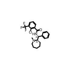 CN1CCCCC[C@@H]1[C@H](NC(=O)c1cccc(C(F)(F)F)c1Cl)c1ccccc1